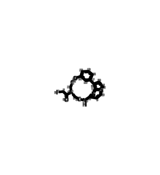 O=C(CF)N1CCNc2ccn3ncc(c3n2)-c2cccc(c2)OCC1